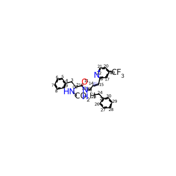 O=C(O)N[C@@H](Cc1ccccc1)C(=O)N[C@H](/C=C/c1cc(C(F)(F)F)ccn1)CCc1ccccc1